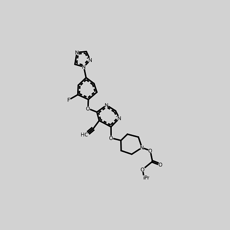 C#Cc1c(Oc2ccc(-n3cncn3)cc2F)ncnc1OC1CCN(OC(=O)OC(C)C)CC1